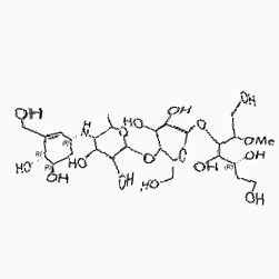 COC(CO)C(OC1OC(CO)C(OC2OC(C)C(N[C@H]3C=C(CO)[C@@H](O)[C@H](O)C3)C(O)C2O)C(O)C1O)C(O)[C@H](O)CCO